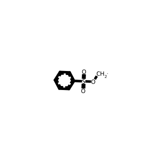 [CH2]OS(=O)(=O)c1ccccc1